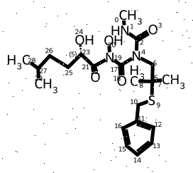 CNC(=O)N(CC(C)(C)SCc1ccccc1)C(=O)N(O)C(=O)[C@@H](O)CCC(C)C